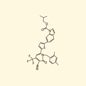 Cc1ccc(Cn2c(-c3ccc(-c4ccc5ccn(C(=O)OCC(C)C)c5c4)s3)cc(C(F)(F)F)c(C#N)c2=O)c(C)c1